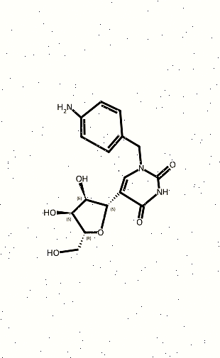 Nc1ccc(Cn2cc([C@@H]3O[C@H](CO)[C@@H](O)[C@H]3O)c(=O)[nH]c2=O)cc1